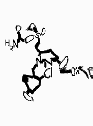 COCOc1cc(C=CS(=O)(=O)OC(N)=O)n(Cc2ccc(Cl)cc2Cl)n1